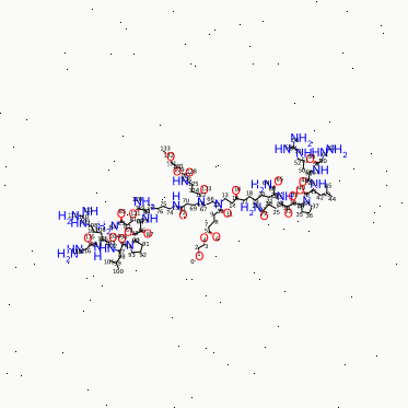 COCCOC(=O)CCCC(=O)N(CCC(=O)CCCCC[C@H](N[C@@H](CCC(N)=O)C(=O)C(=O)[C@@H]1CCCN1C(=O)C(CC(C)C)NC(=O)[C@H](CCCNC(=N)N)NC(=O)CNN)C(N)=O)CCN(CCC(=O)NCCCC[C@H](N[C@@H](CCC(N)=O)C(=O)C(=O)[C@@H]1CCCN1C(=O)C(CC(C)C)NC(=O)[C@H](CCCNC(=N)N)NC(=O)CNN)C(N)=O)C(=O)CCNC(=O)OCCOC